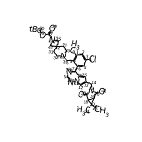 Cc1cc(Cl)cc(-c2ncnn3cc(CN4C(=O)C5C(C4=O)C5(C)C)cc23)c1CN1CCC2(CC1)CN(C(=O)OC(C)(C)C)C2